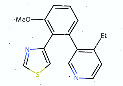 CCc1ccncc1-c1cccc(OC)c1-c1cscn1